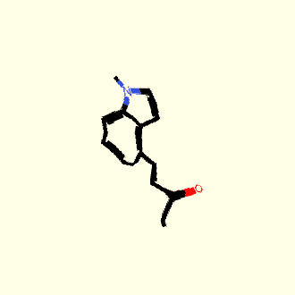 CC(=O)/C=C/c1cccc2c1ccn2C